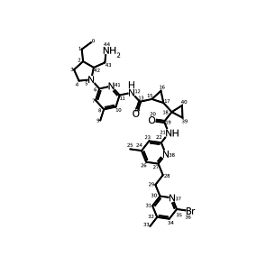 CCC1CCN(c2cc(C)cc(NC(=O)C3CC3C3(C(=O)Nc4cc(C)cc(CCc5cc(C)cc(Br)n5)n4)CC3)n2)C1CN